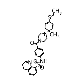 CCSC1=CCC(C)(N2CCN(C(=O)c3ccc(NS(=O)(=O)c4cccc5c4N=CCC5)cc3)CC2)C=C1